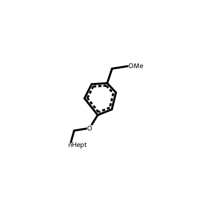 CCCCCCCCOc1ccc(COC)cc1